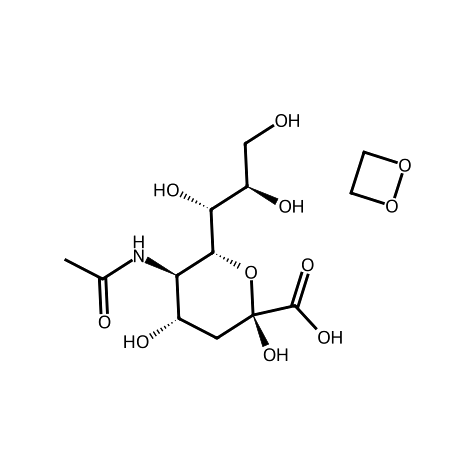 C1COO1.CC(=O)N[C@H]1[C@H]([C@H](O)[C@H](O)CO)O[C@](O)(C(=O)O)C[C@@H]1O